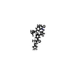 O=C1Nc2ccc(C(=O)NC3CC3)cc2/C1=C\c1ccc(-c2cccc(C(=O)NCCN3CCCC3)c2)o1